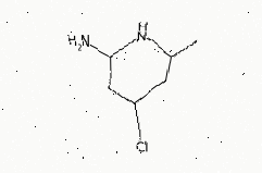 CC1CC(Cl)CC(N)N1